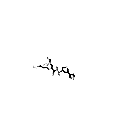 CCCCC[C@H](CN(O)C=O)C(=O)NNc1cncc(-c2ccoc2)c1